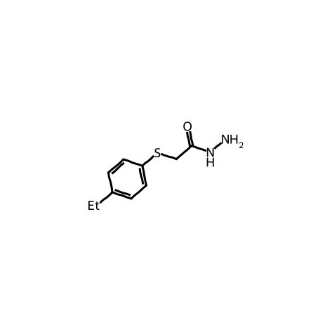 CCc1ccc(SCC(=O)NN)cc1